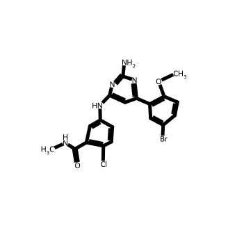 CNC(=O)c1cc(Nc2cc(-c3cc(Br)ccc3OC)nc(N)n2)ccc1Cl